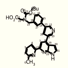 Cc1cccc(-c2cc(-c3cncc(-c4cccc(CN(CC(=O)O)C(=O)OC(C)(C)C)c4)c3)c3cc[nH]c3n2)n1